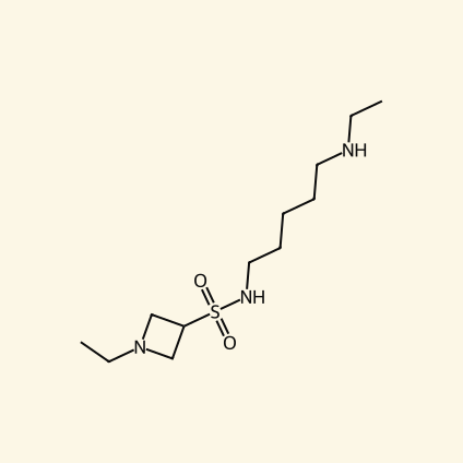 CCNCCCCCNS(=O)(=O)C1CN(CC)C1